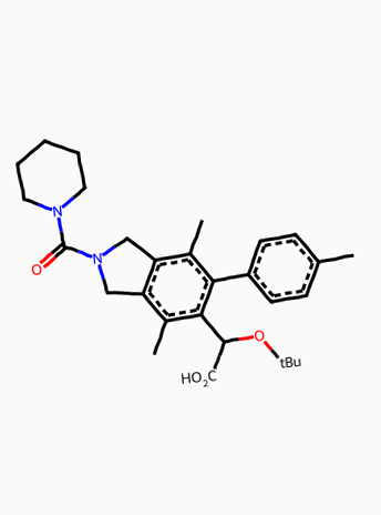 Cc1ccc(-c2c(C)c3c(c(C)c2C(OC(C)(C)C)C(=O)O)CN(C(=O)N2CCCCC2)C3)cc1